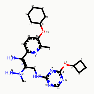 Cc1nc(/C(N)=C(\CNc2ncnc(OC3CCC3)n2)N(C)N)ccc1OC1CCCCC1